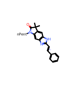 CCCCCN1C(=O)C(C)(C)c2cc3[nH]c(/C=C/c4ccccc4)nc3cc21